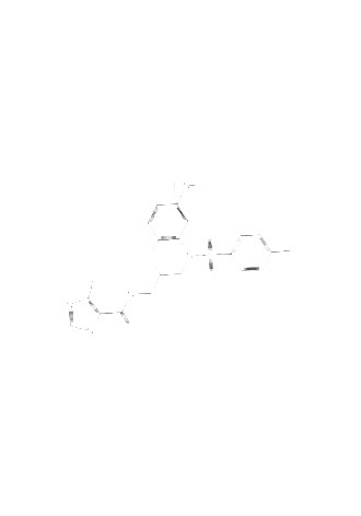 Cc1nc[nH]c1C(=O)NCC1CN(S(=O)(=O)c2ccc(F)cc2)c2cc(NC(=O)O)ccc2O1